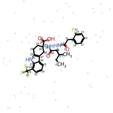 CCC(C)[C@@H](NC(=O)Cc1ccccc1F)C(=O)N[C@@]1(C(=O)O)CCc2[nH]c3c(C(F)(F)F)cccc3c2C1